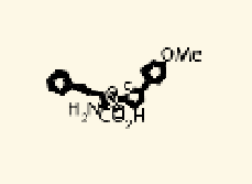 COc1ccc(-c2ccc(S(=O)(=O)C(N)(CC#Cc3ccccc3)C(=O)O)s2)cc1